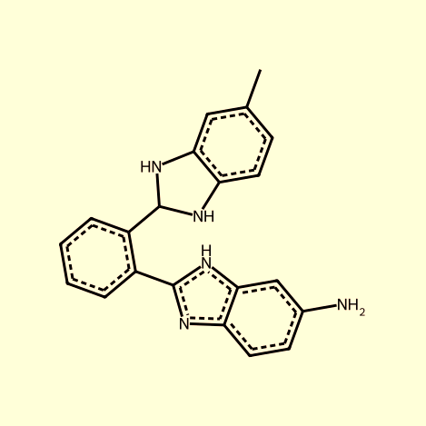 Cc1ccc2c(c1)NC(c1ccccc1-c1nc3ccc(N)cc3[nH]1)N2